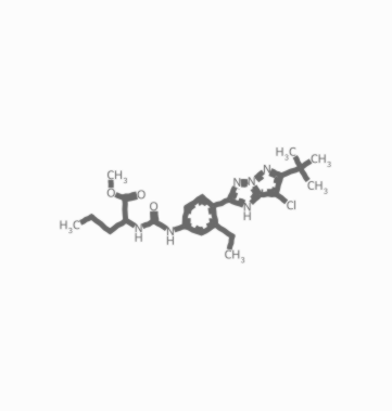 CCCC(NC(=O)Nc1ccc(-c2nn3nc(C(C)(C)C)c(Cl)c3[nH]2)c(CC)c1)C(=O)OC